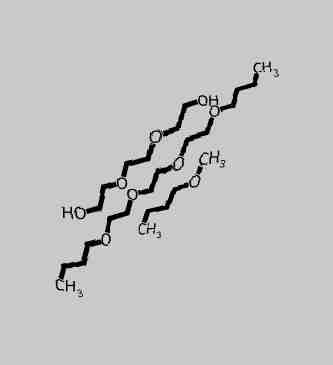 CCCCOC.CCCCOCCOCCOCCOCCCC.OCCOCCOCCO